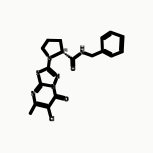 Cc1nc2sc(N3CCC[C@@H]3C(=O)NCc3ccccc3)nn2c(=O)c1Cl